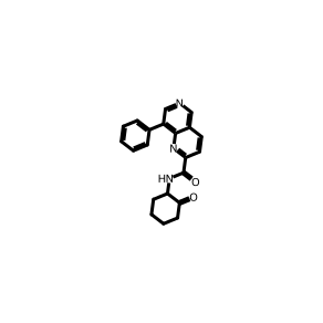 O=C(NC1CCCCC1=O)c1ccc2cncc(-c3ccccc3)c2n1